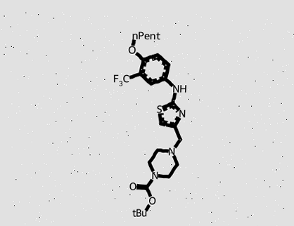 CCCCCOc1ccc(Nc2nc(CN3CCN(C(=O)OC(C)(C)C)CC3)cs2)cc1C(F)(F)F